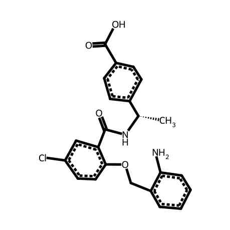 C[C@H](NC(=O)c1cc(Cl)ccc1OCc1ccccc1N)c1ccc(C(=O)O)cc1